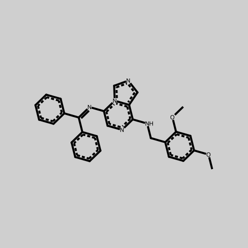 COc1ccc(CNc2ncc(N=C(c3ccccc3)c3ccccc3)n3cncc23)c(OC)c1